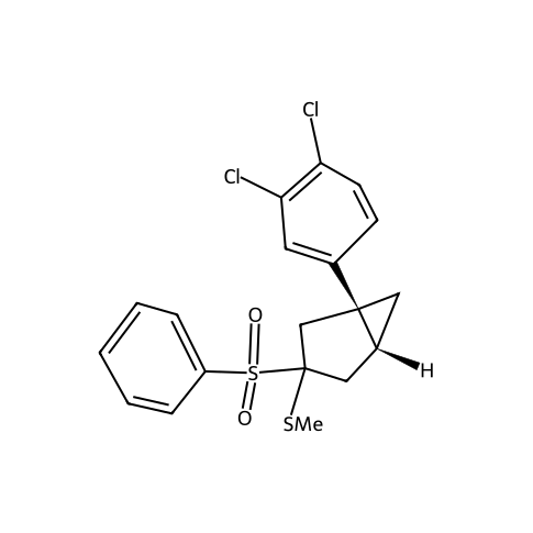 CSC1(S(=O)(=O)c2ccccc2)C[C@H]2C[C@@]2(c2ccc(Cl)c(Cl)c2)C1